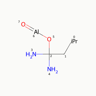 CC(C)CC(N)(N)[O][Al]=[O]